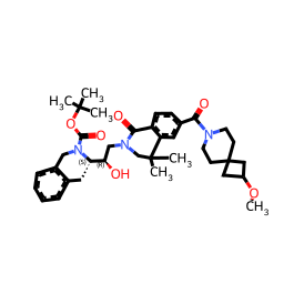 COC1CC2(CCN(C(=O)c3ccc4c(c3)C(C)(C)CN(C[C@@H](O)[C@@H]3Cc5ccccc5CN3C(=O)OC(C)(C)C)C4=O)CC2)C1